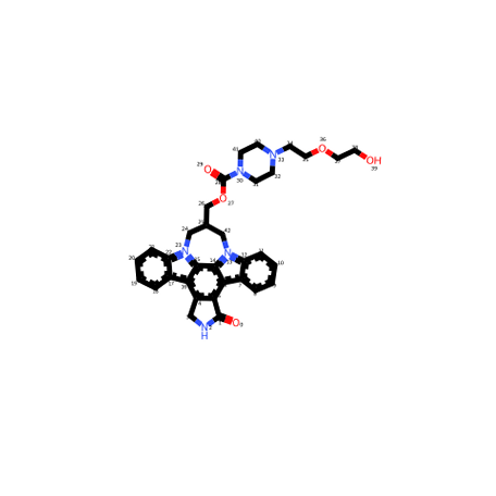 O=C1NCc2c1c1c3ccccc3n3c1c1c2c2ccccc2n1CC(COC(=O)N1CCN(CCOCCO)CC1)C3